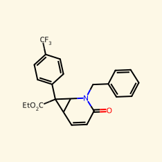 CCOC(=O)C1(c2ccc(C(F)(F)F)cc2)C2C=CC(=O)N(Cc3ccccc3)C21